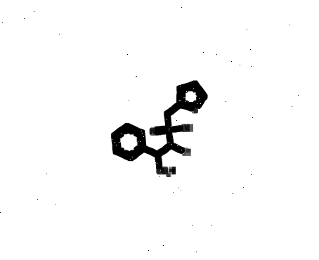 CCC(C(C(=O)O)c1ccccc1)P(=O)(O)Cc1cccs1